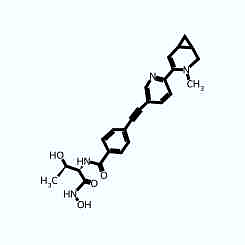 C[C@@H](O)[C@H](NC(=O)c1ccc(C#Cc2ccc(C3=CC4CC4CN3C)nc2)cc1)C(=O)NO